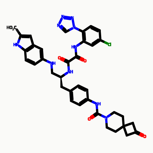 O=C1CC2(CCN(C(=O)Nc3ccc(C[C@@H](CNc4ccc5[nH]c(C(=O)O)cc5c4)NC(=O)C(=O)Nc4cc(Cl)ccc4-n4cnnn4)cc3)CC2)C1